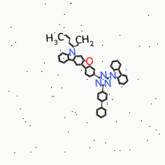 C=C/C(=C\C=C/C)n1c2ccccc2c2cc3c(cc21)oc1cc(-c2nc(-c4ccc(-c5ccccc5)cc4)nc(-n4c5ccccc5c5ccccc54)n2)ccc13